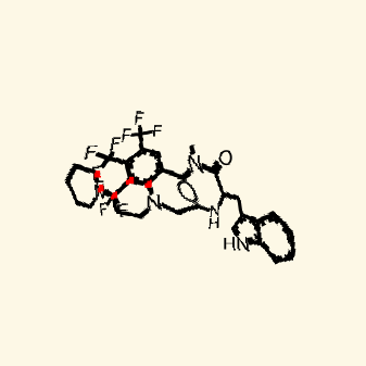 CN(Cc1cc(C(F)(F)F)c(C(F)(F)F)c(C(F)(F)F)c1)C(=O)C(Cc1c[nH]c2ccccc12)NC(=O)CN1CCC(N2CCCCC2)CC1